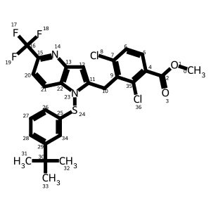 COC(=O)c1ccc(Cl)c(Cc2cc3nc(C(F)(F)F)ccc3n2Sc2cccc(C(C)(C)C)c2)c1Cl